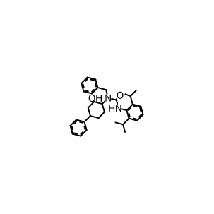 CC(C)c1cccc(C(C)C)c1NC(=O)N(Cc1ccccc1O)C1CCC(c2ccccc2)CC1